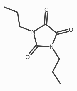 CCCN1C(=O)C(=O)N(CCC)C1=O